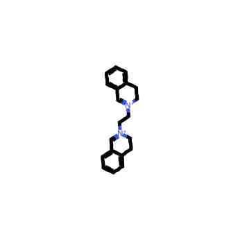 C1=[N+](CC[N+]2=Cc3ccccc3CC2)CCc2ccccc21